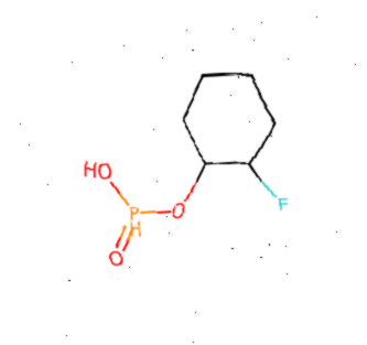 O=[PH](O)OC1CCCCC1F